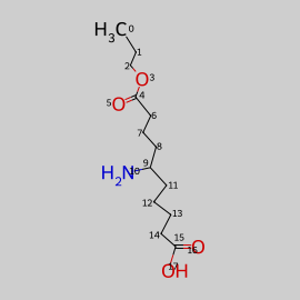 CCCOC(=O)CCCC(N)CCCCC(=O)O